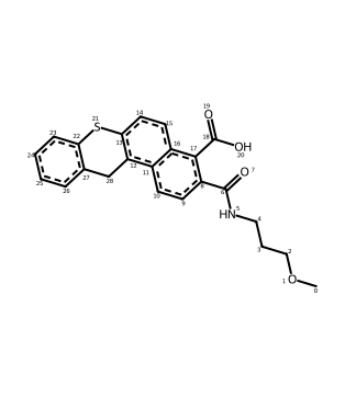 COCCCNC(=O)c1ccc2c3c(ccc2c1C(=O)O)Sc1ccccc1C3